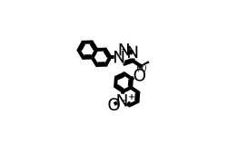 C[C@@H](Oc1cccc2c1ccc[n+]2[O-])c1cn(-c2ccc3ccccc3c2)nn1